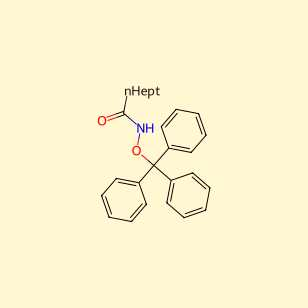 CCCCCCCC(=O)NOC(c1ccccc1)(c1ccccc1)c1ccccc1